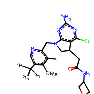 [2H]C([2H])([2H])c1cnc(CN2CC(CC(=O)NC3COC3)c3c(Cl)nc(N)nc32)c(C)c1OC